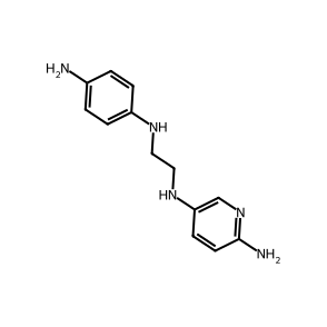 Nc1ccc(NCCNc2ccc(N)nc2)cc1